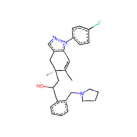 CC1=Cc2c(cnn2-c2ccc(F)cc2)C[C@]1(C)CC(O)c1ccccc1CN1CCCC1